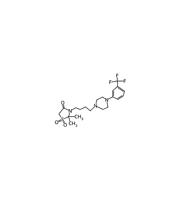 CC1(C)N(CCCCN2CCN(c3cccc(C(F)(F)F)c3)CC2)C(=O)CS1(=O)=O